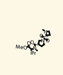 COC(=O)C(C(C)C)N(C)C(=O)[C@H]1CCN(S(=O)(=O)[C@H]2CCN2C)C1